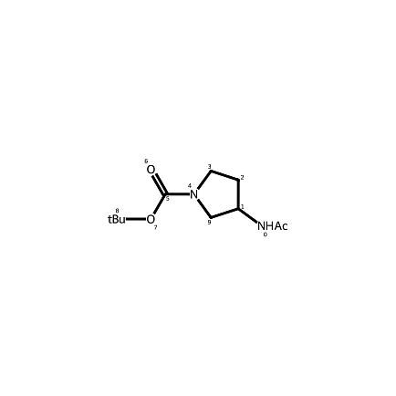 CC(=O)NC1CCN(C(=O)OC(C)(C)C)C1